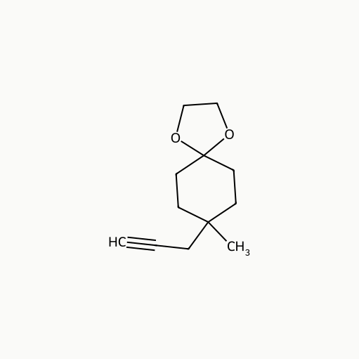 C#CCC1(C)CCC2(CC1)OCCO2